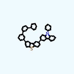 c1ccc(-c2cccc(-c3cccc(-c4ccc5sc6ccc(-c7ccc8c(c7)c7ccccc7n8-c7ccccc7)cc6c5c4)c3)c2)cc1